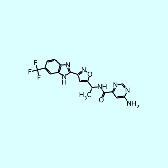 C[C@H](NC(=O)c1cc(N)ncn1)c1cc(-c2nc3ccc(C(F)(F)F)cc3[nH]2)no1